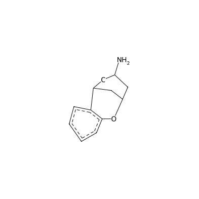 NC1CC2CC(C1)c1ccccc1O2